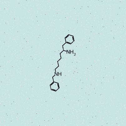 NC(CCCCCNCc1ccccc1)Cc1ccccc1